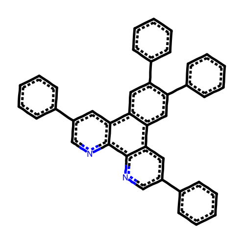 c1ccc(-c2cnc3c(c2)c2cc(-c4ccccc4)c(-c4ccccc4)cc2c2cc(-c4ccccc4)cnc23)cc1